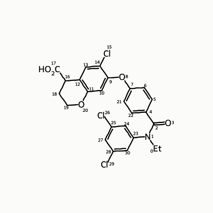 CCN(C(=O)c1ccc(Oc2cc3c(cc2Cl)C(C(=O)O)CCO3)cc1)c1cc(Cl)cc(Cl)c1